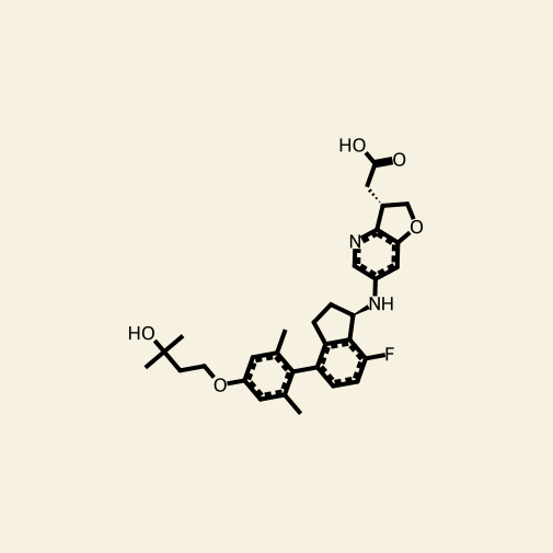 Cc1cc(OCCC(C)(C)O)cc(C)c1-c1ccc(F)c2c1CC[C@H]2Nc1cnc2c(c1)OC[C@H]2CC(=O)O